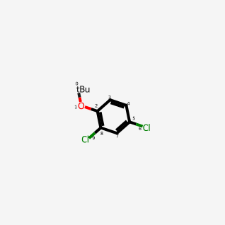 CC(C)(C)Oc1ccc(Cl)cc1Cl